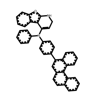 C1=C(N(c2ccccc2)c2ccc(-c3cc4ccc5ccccc5c4c4ccccc34)cc2)c2c(oc3ccccc23)NC1